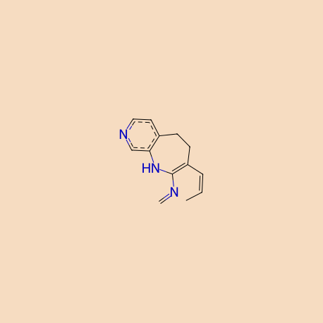 C=NC1=C(/C=C\C)CCc2ccncc2N1